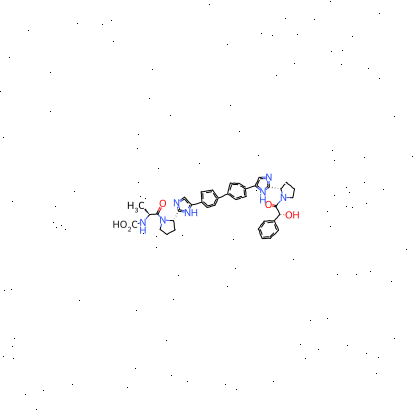 C[C@H](NC(=O)O)C(=O)N1CCC[C@H]1c1ncc(-c2ccc(-c3ccc(-c4cnc([C@@H]5CCCN5C(=O)[C@H](O)c5ccccc5)[nH]4)cc3)cc2)[nH]1